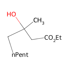 CCCCCCC(C)(O)CC(=O)OCC